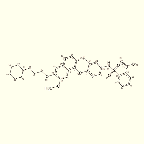 COc1cc2c(Oc3ccc(NS(=O)(=O)c4ccccc4[N+](=O)[O-])cc3F)ccnc2cc1OCCCN1CCCCC1